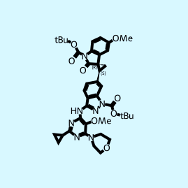 COc1ccc2c(c1)[C@]1(C[C@H]1c1ccc3c(Nc4nc(C5CC5)nc(N5CCOCC5)c4OC)nn(C(=O)OC(C)(C)C)c3c1)C(=O)N2C(=O)OC(C)(C)C